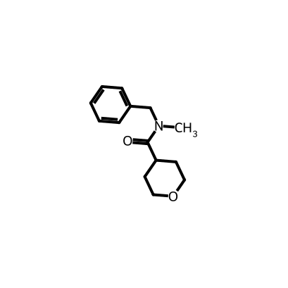 CN(Cc1ccccc1)C(=O)C1CCOCC1